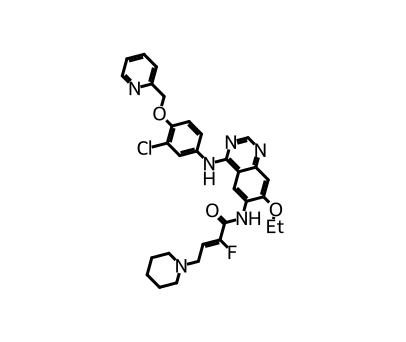 CCOc1cc2ncnc(Nc3ccc(OCc4ccccn4)c(Cl)c3)c2cc1NC(=O)C(F)=CCN1CCCCC1